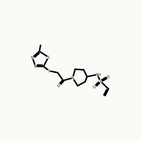 C=CS(=O)(=O)NC1CCN(C(=O)CSc2nnc(C)s2)CC1